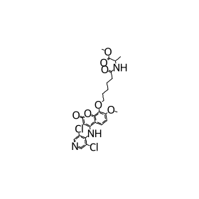 COC(=O)C(C)NC(=O)CCCCCOc1c(OC)ccc2c(Nc3c(Cl)cncc3Cl)cc(=O)oc12